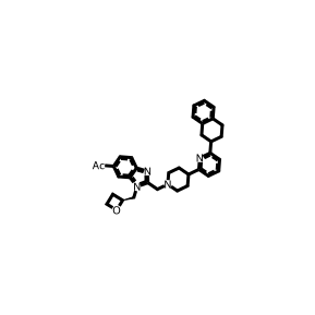 CC(=O)c1ccc2nc(CN3CCC(c4cccc(C5CCc6ccccc6C5)n4)CC3)n(C[C@@H]3CCO3)c2c1